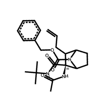 C=CCC1C2CCC(N2C(=O)OCc2ccccc2)[C@]1(NC(C)=O)C(=O)NC(C)(C)C